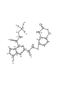 O=C1COc2ccc(CNC(=O)c3cc(C(=O)NCC(F)(F)F)n4ncc(F)c4n3)cc2N1